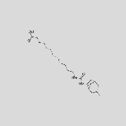 CC1CC2=C(NC(=O)NCCCCCCCCCCCC(=O)O)CC(C2)C1